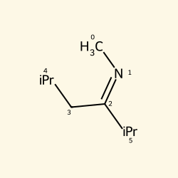 C/N=C(\CC(C)C)C(C)C